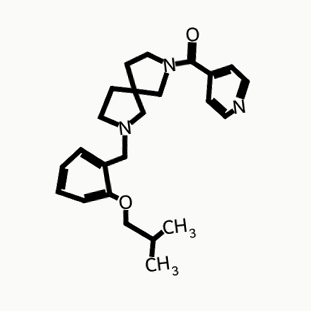 CC(C)COc1ccccc1CN1CCC2(CCN(C(=O)c3ccncc3)C2)C1